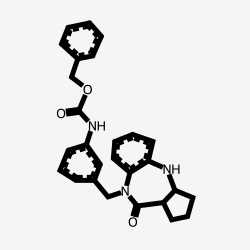 O=C(Nc1cccc(CN2C(=O)C3CCCC3Nc3ccccc32)c1)OCc1ccccc1